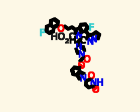 Cc1nn2c(c1-c1c(F)ccc3c(CCCOc4cccc5cc(F)ccc45)c(C(=O)O)n(CCN4CCN(C(=O)COc5cccc6c5CN(C5CCC(=O)NC5=O)C6)CC4)c13)CCC2